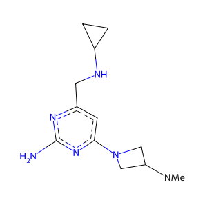 CNC1CN(c2cc(CNC3CC3)nc(N)n2)C1